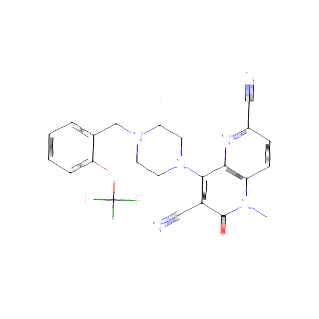 C[C@@H]1CN(c2c(C#N)c(=O)n(C)c3ccc(C#N)nc23)CCN1Cc1ccccc1OC(F)(F)F